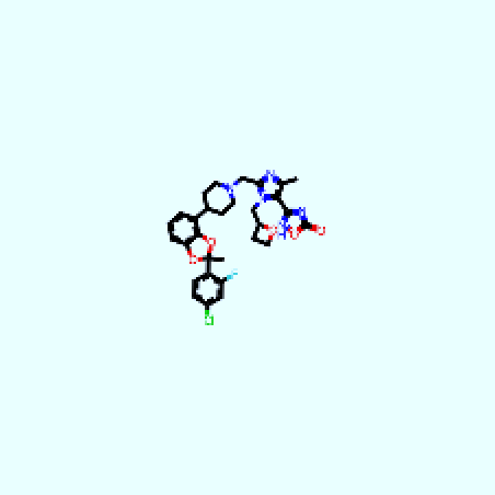 Cc1nc(CN2CCC(c3cccc4c3OC(C)(c3ccc(Cl)cc3F)O4)CC2)n(CC2CCO2)c1-c1nc(=O)o[nH]1